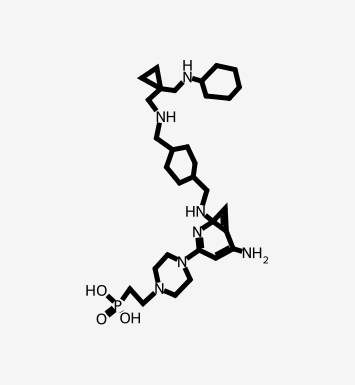 NC1=CC(N2CCN(CCP(=O)(O)O)CC2)=NC2(NCC3CCC(CNCC4(CNC5CCCCC5)CC4)CC3)C=C12